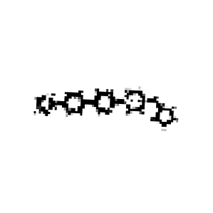 [c]1nnc(-c2ccc(-c3cnc(N4CCN(CC5CCCC5)CC4)nc3)cc2)s1